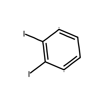 Ic1[c]cc[c]c1I